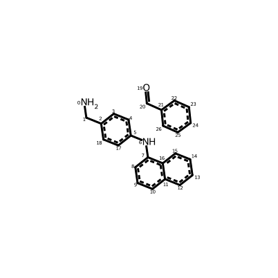 NCc1ccc(Nc2cccc3ccccc23)cc1.O=Cc1ccccc1